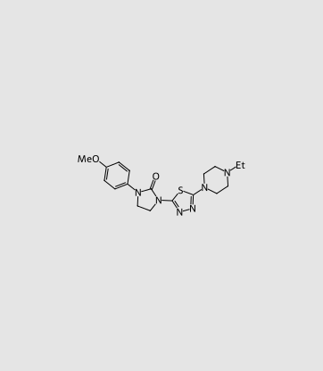 CCN1CCN(c2nnc(N3CCN(c4ccc(OC)cc4)C3=O)s2)CC1